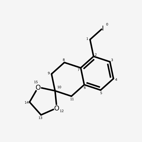 ICc1cccc2c1CCC1(C2)OCCO1